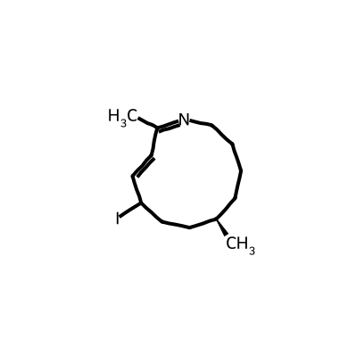 CC1=N/CCCC[C@@H](C)CCC(I)\C=C\1